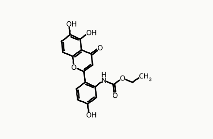 CCOC(=O)Nc1cc(O)ccc1-c1cc(=O)c2c(O)c(O)ccc2o1